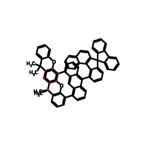 CCc1ccccc1Oc1c(CC)cccc1-c1cccc2c(-c3cccc4c3-c3c(ccc5ccccc35)C43c4ccccc4-c4ccccc43)c3cccc(-c4cccc5c4Oc4ccccc4C5(C)C)c3cc12